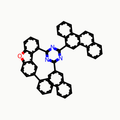 c1ccc(-c2ccc3oc4cccc(-c5nc(-c6ccc7ccccc7c6)nc(-c6cc7c8ccccc8ccc7c7ccccc67)n5)c4c3c2)cc1